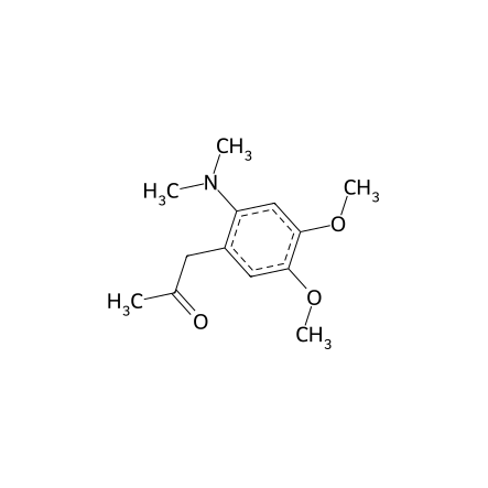 COc1cc(CC(C)=O)c(N(C)C)cc1OC